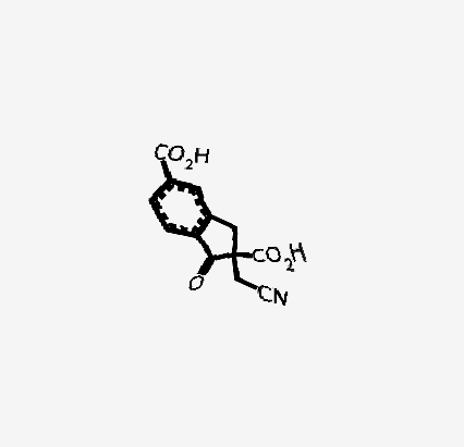 N#CCC1(C(=O)O)Cc2cc(C(=O)O)ccc2C1=O